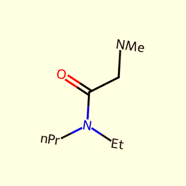 CCCN(CC)C(=O)CNC